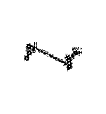 COC[C@H]1CN[C@H](C)CN1CC(=O)N1CC(C)(C)c2nc(CN(C)CCOCCOCCOCCOCCOCCOCCN[C@H](Cc3cccc(F)c3)C(=O)Nc3ccc(-c4ccncc4)cc3)c(Cc3ccc(F)cc3)cc21